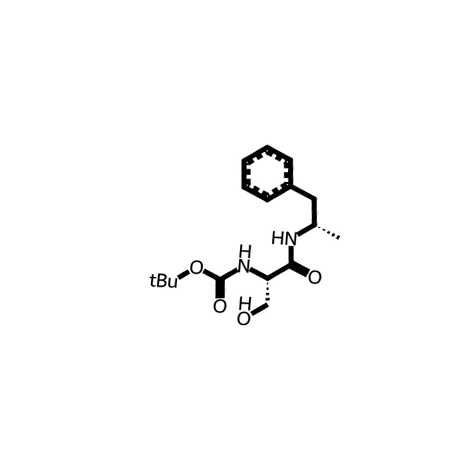 C[C@@H](Cc1ccccc1)NC(=O)[C@H](CO)NC(=O)OC(C)(C)C